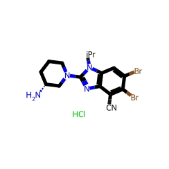 CC(C)n1c(N2CCC[C@@H](N)C2)nc2c(C#N)c(Br)c(Br)cc21.Cl